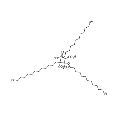 CCCC(=O)C(C(=O)O)C(OCCCCCCCCCCCCC(C)C)(C(=O)O)C(CCCCCCCCCCCCC(C)C)(CCCCCCCCCCCCC(C)C)C(=O)O